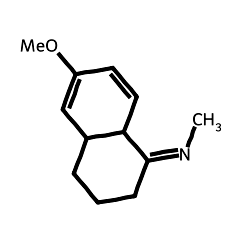 C/N=C1/CCCC2C=C(OC)C=CC12